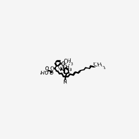 CCCCCCCCCCCCC(C#N)(CCCC(CC(OC(=O)C(=O)O)c1cccc(OC)c1)N=NC)c1ccccc1